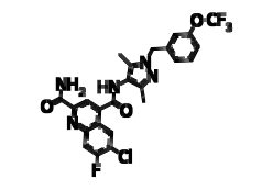 Cc1nn(Cc2cccc(OC(F)(F)F)c2)c(C)c1NC(=O)c1cc(C(N)=O)nc2cc(F)c(Cl)cc12